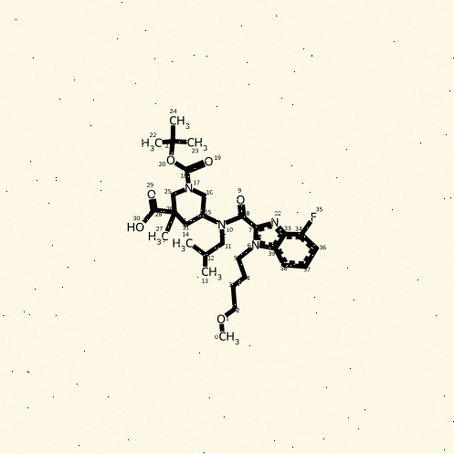 COCCCCn1c(C(=O)N(CC(C)C)C2CN(C(=O)OC(C)(C)C)CC(C)(C(=O)O)C2)nc2c(F)cccc21